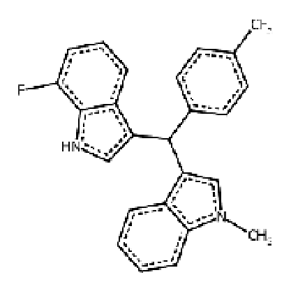 Cn1cc(C(c2ccc(C(F)(F)F)cc2)c2c[nH]c3c(F)cccc23)c2ccccc21